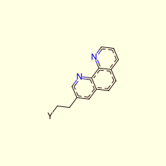 [Y][CH2]Cc1cnc2c(ccc3cccnc32)c1